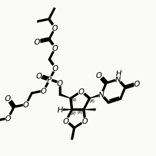 CC(C)OC(=O)OCOP(=O)(OCOC(=O)OC(C)C)OC[C@H]1O[C@@H](n2ccc(=O)[nH]c2=O)[C@]2(C)OC(C)O[C@H]12